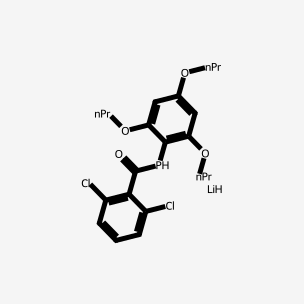 CCCOc1cc(OCCC)c(PC(=O)c2c(Cl)cccc2Cl)c(OCCC)c1.[LiH]